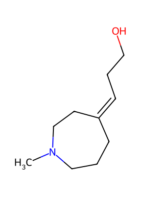 CN1CCC/C(=C/CCO)CC1